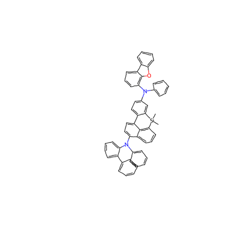 C[Si]1(C)c2cc(N(c3ccccc3)c3cccc4c3oc3ccccc34)ccc2-c2ccc(N(c3ccccc3)c3ccccc3-c3ccccc3)c3cccc1c23